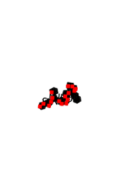 c1ccc(C2N=C(c3ccc4c(c3)sc3ccccc34)N=C(c3ccc4ccc5oc6c(-n7c8cc9ccccc9cc8c8ccc9ccccc9c87)cccc6c5c4c3)N2)cc1